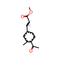 COC(=O)/C=C/c1ccc(C(C)=O)c(C)c1